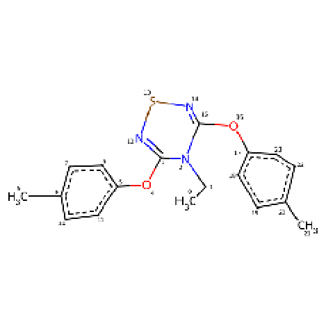 CCN1C(Oc2ccc(C)cc2)=NSN=C1Oc1ccc(C)cc1